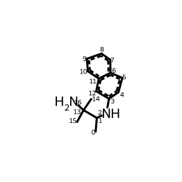 CC(Nc1ccc2ccccc2c1)C(C)(C)N